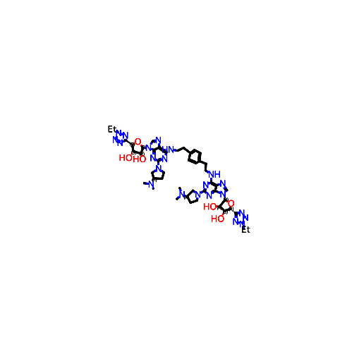 CCn1nnc([C@H]2O[C@@H](n3cnc4c(NCCc5ccc(CCNc6nc(N7CC[C@@H](N(C)C)C7)nc7c6ncn7[C@@H]6O[C@H](c7nnn(CC)n7)[C@@H](O)[C@H]6O)cc5)nc(N5CC[C@@H](N(C)C)C5)nc43)[C@H](O)[C@@H]2O)n1